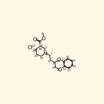 COC(=O)[C@H]1CN(CCC2COc3ccccc3O2)CC[C@@H]1Cl